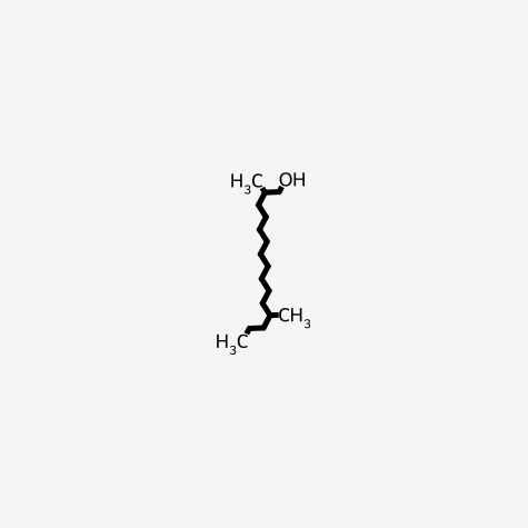 CCCC(C)CCCCCCCCCC(C)CO